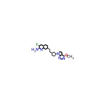 COc1ncnc2c1ccn2C1CCC(CCc2ccc3cc(F)c(N)nc3c2)C1